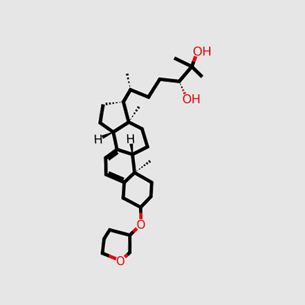 C[C@H](CC[C@@H](O)C(C)(C)O)[C@H]1CC[C@H]2C3=CC=C4CC(OC5CCCOC5)CC[C@]4(C)[C@H]3CC[C@]12C